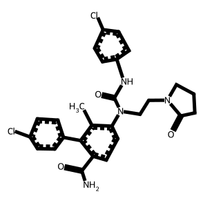 Cc1c(N(CCN2CCCC2=O)C(=O)Nc2ccc(Cl)cc2)ccc(C(N)=O)c1-c1ccc(Cl)cc1